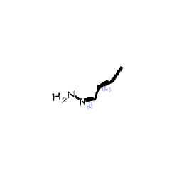 C/C=C/C=N\N